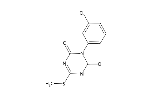 CSc1nc(=O)n(-c2cccc(Cl)c2)c(=O)[nH]1